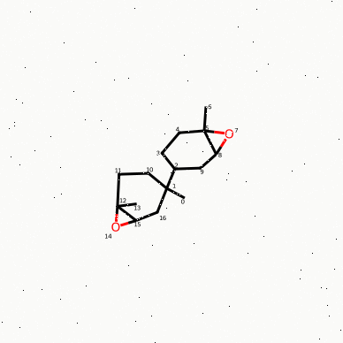 CC1(C2CCC3(C)OC3C2)CCC2(C)OC2C1